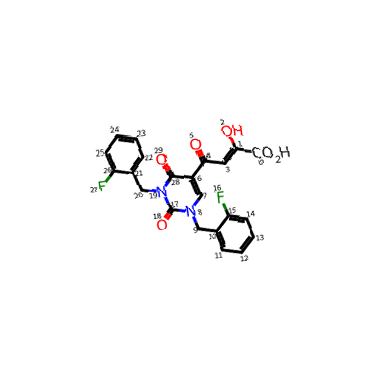 O=C(O)C(O)=CC(=O)c1cn(Cc2ccccc2F)c(=O)n(Cc2ccccc2F)c1=O